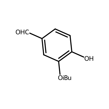 CC(C)COc1cc(C=O)ccc1O